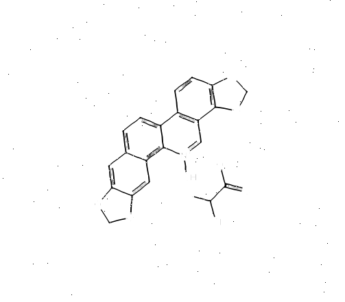 CC(O)C(=O)[O-].C[n+]1cc2c3c(ccc2c2ccc4cc5c(cc4c21)OCO5)OCO3